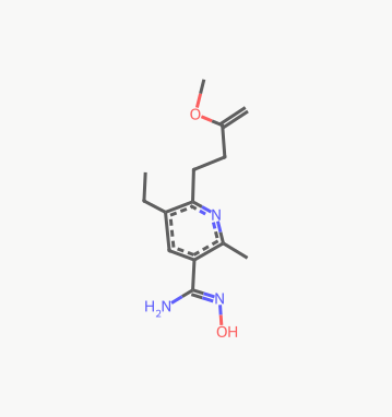 C=C(CCc1nc(C)c(/C(N)=N/O)cc1CC)OC